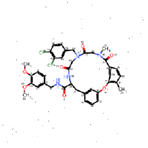 COc1ccc(CNC(=O)C2Cc3cccc(c3)Oc3cc(ccc3C)C(=O)N(C)CC(=O)N(Cc3ccc(Cl)c(Cl)c3)CC(=O)N2)cc1OC